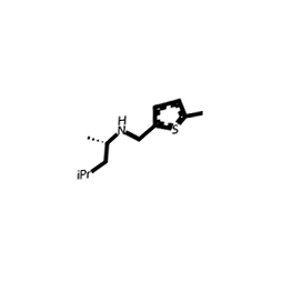 Cc1ccc(CN[C@@H](C)CC(C)C)s1